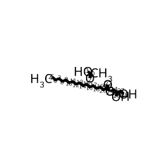 CC(=O)O.CCCCCCCCCCCCCCCCCC(=O)OCC(O)CO